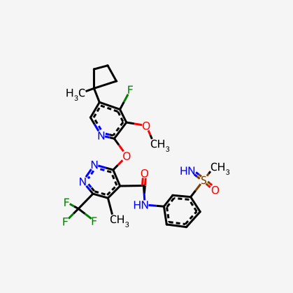 COc1c(Oc2nnc(C(F)(F)F)c(C)c2C(=O)Nc2cccc(S(C)(=N)=O)c2)ncc(C2(C)CCC2)c1F